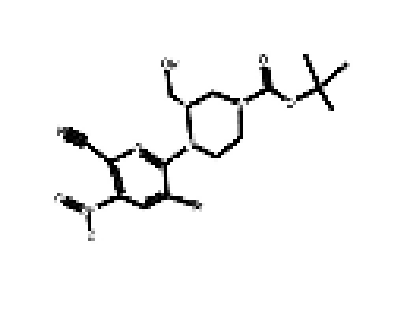 CC(C)(C)OC(=O)N1CCN(c2nc(C#N)c([N+](=O)[O-])cc2Br)[C@@H](CO)C1